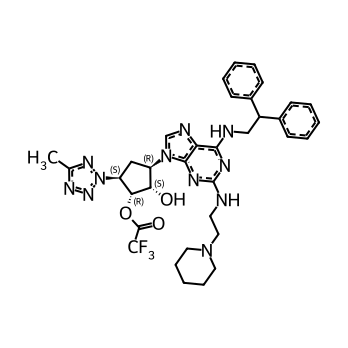 Cc1nnn([C@H]2C[C@@H](n3cnc4c(NCC(c5ccccc5)c5ccccc5)nc(NCCN5CCCCC5)nc43)[C@H](O)[C@@H]2OC(=O)C(F)(F)F)n1